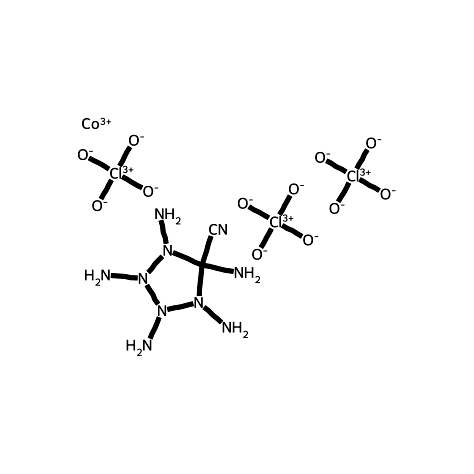 N#CC1(N)N(N)N(N)N(N)N1N.[Co+3].[O-][Cl+3]([O-])([O-])[O-].[O-][Cl+3]([O-])([O-])[O-].[O-][Cl+3]([O-])([O-])[O-]